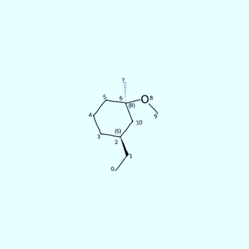 CC[C@H]1CCC[C@@](C)(OC)C1